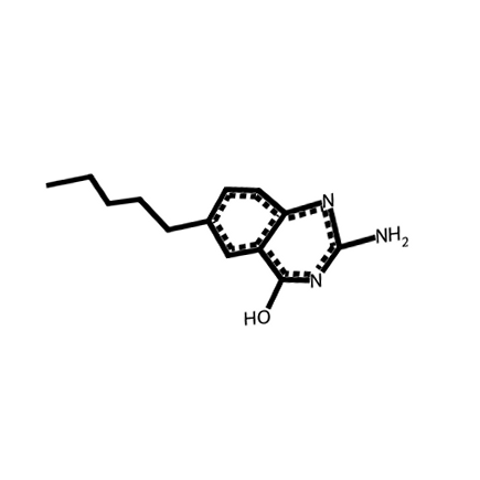 CCCCCc1ccc2nc(N)nc(O)c2c1